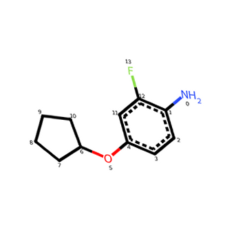 Nc1ccc(OC2CCCC2)cc1F